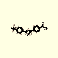 O=C(O)c1ccc(-c2nnc(-c3ccc(C(F)(F)F)cc3)s2)cc1